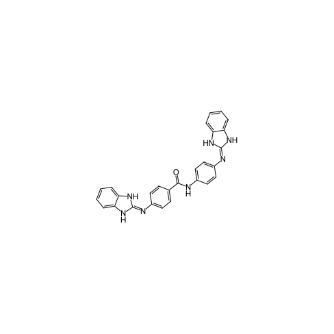 O=C(Nc1ccc(N=c2[nH]c3ccccc3[nH]2)cc1)c1ccc(N=c2[nH]c3ccccc3[nH]2)cc1